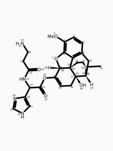 COc1ccc2c3c1O[C@H]1C(OC(=O)C(NC(=O)CCN)c4c[nH]cn4)=CC[C@@]4(O)[C@@H](C2)N(C)CC[C@]314